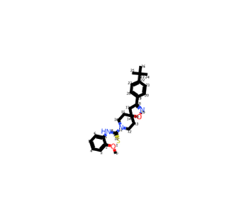 COc1ccccc1NC(=S)N1CCC2(CC1)CC(c1ccc(C(C)(C)C)cc1)=NO2